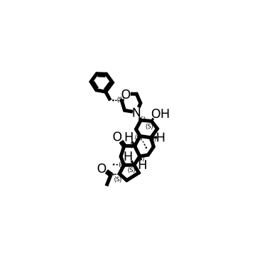 CC(=O)[C@H]1CC[C@H]2[C@@H]3CC[C@H]4C[C@H](O)[C@@H](N5CCO[C@@H](Cc6ccccc6)C5)C[C@]4(C)[C@H]3C(=O)C[C@]12C